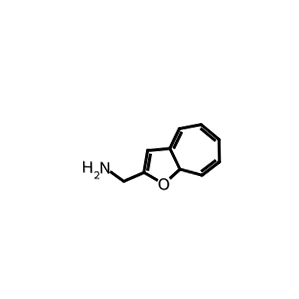 NCC1=CC2=CC=CC=CC2O1